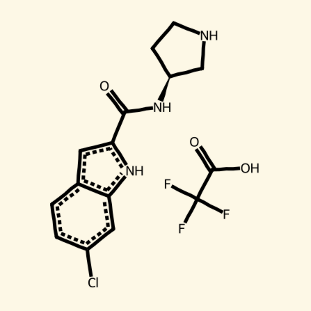 O=C(N[C@H]1CCNC1)c1cc2ccc(Cl)cc2[nH]1.O=C(O)C(F)(F)F